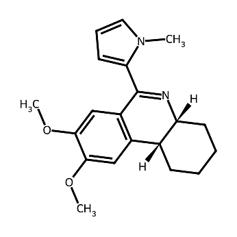 COc1cc2c(cc1OC)[C@H]1CCCC[C@H]1N=C2c1cccn1C